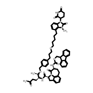 C[C@@H](OCc1ccc(CCCOCCCCCc2cccc3c2n(C)c(=O)n3C2CCC(=O)NC2=O)cc1)[C@H](CCC(N)=O)NC(=O)[C@@H]1Cc2cccc3c2N1C(=O)[C@@H](NC(=O)OCC1c2ccccc2-c2ccccc21)CC3